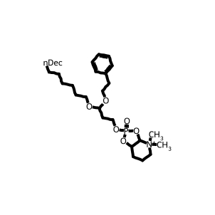 CCCCCCCCCCCCCCCCOC(CCOP1(=O)OC2CCC[N+](C)(C)C2O1)OCCc1ccccc1